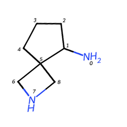 NC1CCCC12CNC2